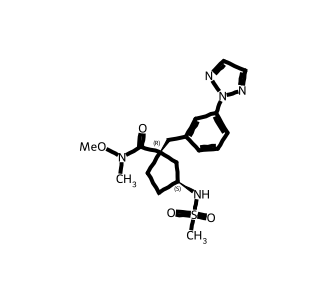 CON(C)C(=O)[C@@]1(Cc2cccc(-n3nccn3)c2)CC[C@H](NS(C)(=O)=O)C1